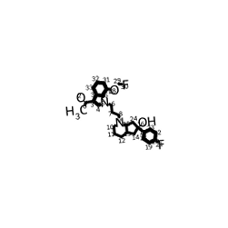 CC(=O)c1cn(CCCN2CCCC3CC(O)(c4ccc(F)cc4)CC32)c2c(OCF)cccc12